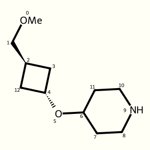 COC[C@H]1C[C@H](OC2CCNCC2)C1